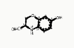 O=CC1COc2cc(O)ccc2N1